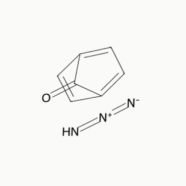 O=C1C2=CC=C1C=C2.[N-]=[N+]=N